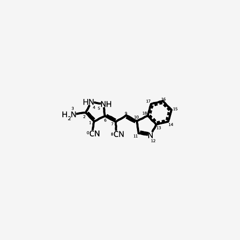 N#CC1=C(N)NN/C1=C(C#N)\C=C1/C=Nc2ccccc21